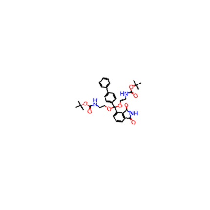 CC(C)(C)OC(=O)NCCOC(OCCNC(=O)OC(C)(C)C)(c1ccc(-c2ccccc2)cc1)c1cccc2c1C(=O)NC2=O